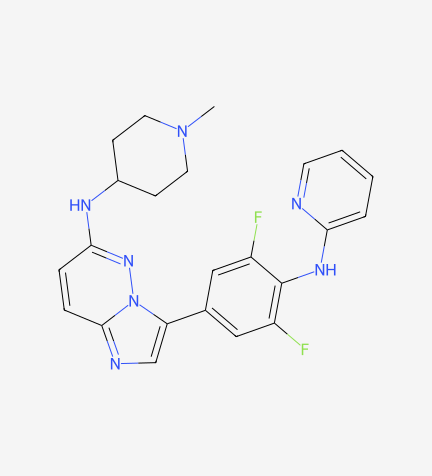 CN1CCC(Nc2ccc3ncc(-c4cc(F)c(Nc5ccccn5)c(F)c4)n3n2)CC1